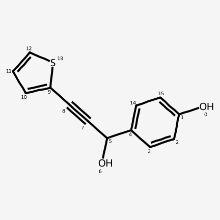 Oc1ccc(C(O)C#Cc2cccs2)cc1